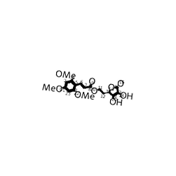 COc1cc(OC)c(/C=C/C(=O)OCC[C@H]2OC(=O)C(O)=C2O)c(OC)c1